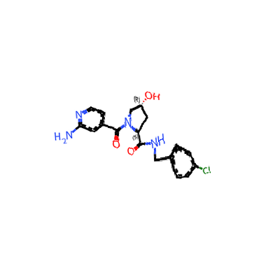 Nc1cc(C(=O)N2C[C@H](O)C[C@H]2C(=O)NCc2ccc(Cl)cc2)ccn1